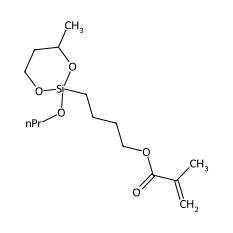 C=C(C)C(=O)OCCCC[Si]1(OCCC)OCCC(C)O1